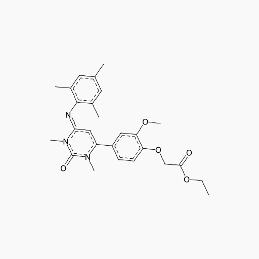 CCOC(=O)COc1ccc(-c2cc(=Nc3c(C)cc(C)cc3C)n(C)c(=O)n2C)cc1OC